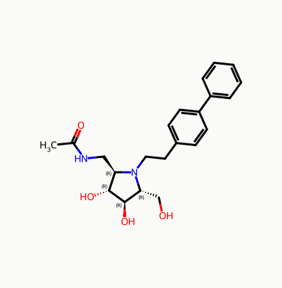 CC(=O)NC[C@@H]1[C@@H](O)[C@H](O)[C@@H](CO)N1CCc1ccc(-c2ccccc2)cc1